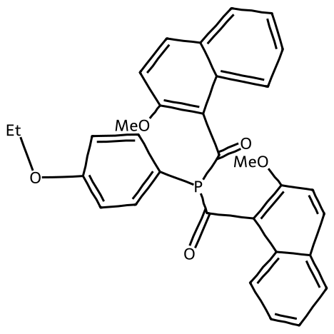 CCOc1ccc(P(C(=O)c2c(OC)ccc3ccccc23)C(=O)c2c(OC)ccc3ccccc23)cc1